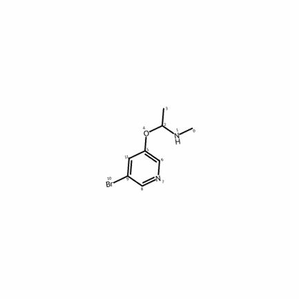 CNC(C)Oc1cncc(Br)c1